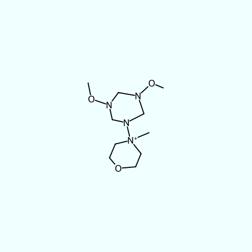 CON1CN(OC)CN([N+]2(C)CCOCC2)C1